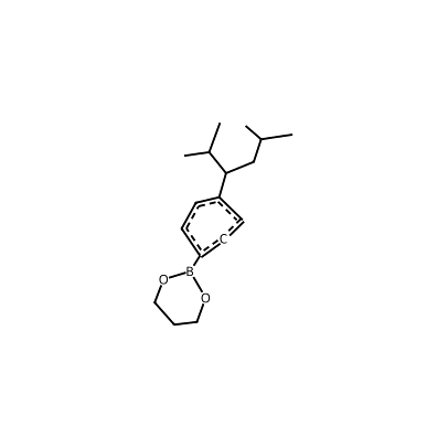 CC(C)CC(c1ccc(B2OCCCO2)cc1)C(C)C